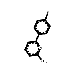 Cc1cccc(-c2ccc(F)cc2)n1